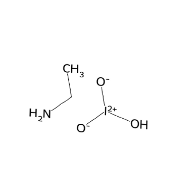 CCN.[O-][I+2]([O-])O